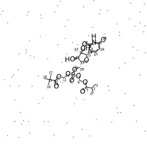 CC(C)C(=O)OCOP(=O)(OCOC(=O)C(C)(C)C)OC[C@H]1O[C@@H](n2ccc(=O)[nH]c2=O)[C@](C)(O)[C@@H]1O